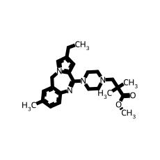 CCc1cc2n(c1)Cc1cc(C)ccc1N=C2N1CCN(CC(C)(C)C(=O)OC)CC1